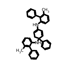 Cc1cccc(NC2=CCC(Nc3cccc(C)c3-c3ccccc3)(c3ccccc3)C=C2)c1-c1ccccc1